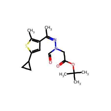 C/C(=N/N(C=O)CC(=O)OC(C)(C)C)c1cc(C2CC2)sc1C